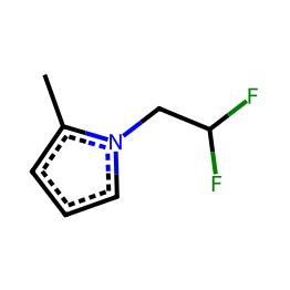 Cc1cccn1CC(F)F